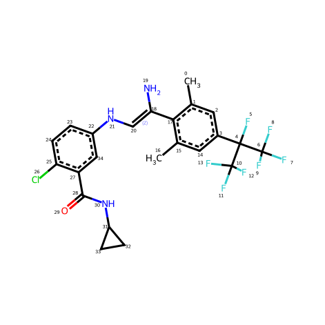 Cc1cc(C(F)(C(F)(F)F)C(F)(F)F)cc(C)c1/C(N)=C/Nc1ccc(Cl)c(C(=O)NC2CC2)c1